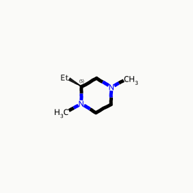 CC[C@H]1CN(C)CCN1C